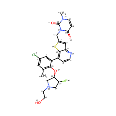 Cc1cc(Cl)cc(-c2ccnc3cc(Cn4c(=O)ccn(C)c4=O)sc23)c1O[C@@H]1CN(CCO)C[C@@H]1F